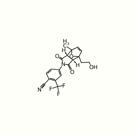 CC12C=CC(CCO)(O1)[C@@H]1C(=O)N(c3ccc(C#N)c(C(F)(F)F)c3)C(=O)[C@@H]12